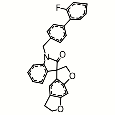 O=C1N(Cc2ccc(-c3ccccc3F)cc2)c2ccccc2C12COc1cc3c(cc12)CCO3